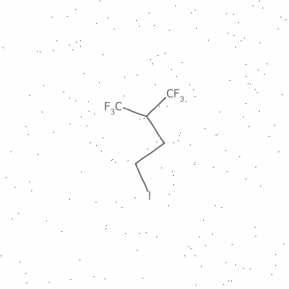 FC(F)(F)C(CCI)C(F)(F)F